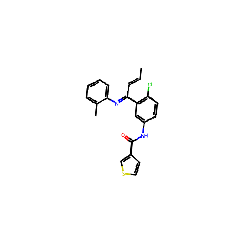 CC=C/C(=N\c1ccccc1C)c1cc(NC(=O)c2ccsc2)ccc1Cl